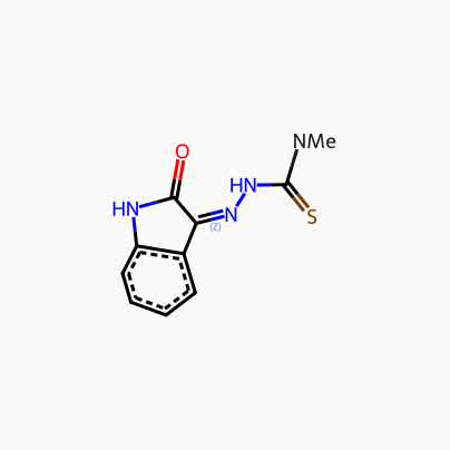 CNC(=S)N/N=C1\C(=O)Nc2ccccc21